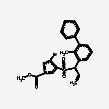 C=CC(c1cccc(-c2ccccc2)c1C)S(=O)(=O)c1cc(C(=O)OC)sc1Br